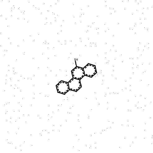 Sc1cc2c3ccccc3ccc2c2ccccc12